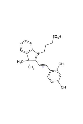 CC1(C)C(/C=C/c2ccc(O)cc2O)=[N+](CCCS(=O)(=O)O)c2ccccc21